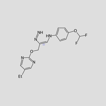 CCc1cnc(OC/C(=C/Nc2ccc(OC(F)F)cc2)N=N)nc1